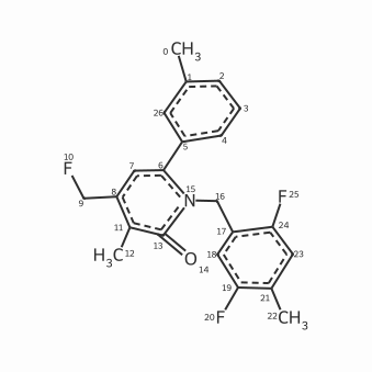 Cc1cccc(-c2cc(CF)c(C)c(=O)n2Cc2cc(F)c(C)cc2F)c1